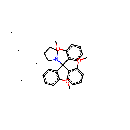 COc1ccccc1C(c1ccccc1OC)(c1ccccc1OC)N1CCCC1